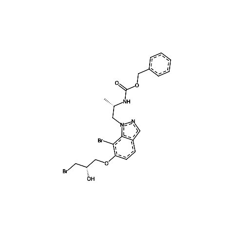 C[C@@H](Cn1ncc2ccc(OC[C@H](O)CBr)c(Br)c21)NC(=O)OCc1ccccc1